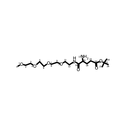 COCCOCCOCCOCCNC(=O)C(N)CCC(=O)OC(C)(C)C